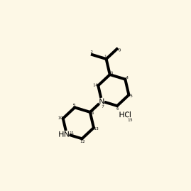 CC(C)C1CCCN(C2CCNCC2)C1.Cl